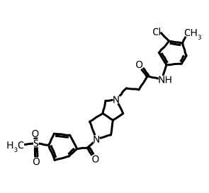 Cc1ccc(NC(=O)CCN2CC3CN(C(=O)c4ccc(S(C)(=O)=O)cc4)CC3C2)cc1Cl